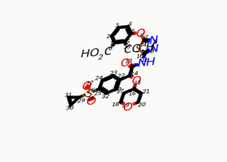 O=C(O)c1cccc(Oc2nnc(NC(=O)C(OC3CCOCC3)c3ccc(S(=O)(=O)C4CC4)cc3)s2)c1C(=O)O